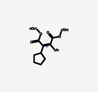 CCCCCCCCOC(=O)/C(CCC)=C(\C(=O)OCCCCCCCC)C1CCCC1